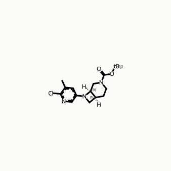 Cc1cc(N2C[C@@H]3CCN(C(=O)OC(C)(C)C)C[C@@H]32)cnc1Cl